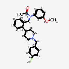 COc1cccc(N(Cc2ccccc2C2CCN(Cc3ccc(F)cc3)CC2)C(C)=O)c1